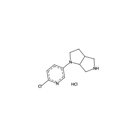 Cl.Clc1ccc(N2CCC3CNCC32)cn1